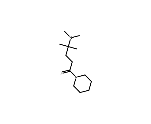 CN(C)C(C)(C)CCC(=O)N1CCCCC1